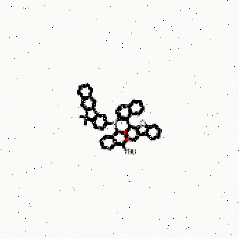 CC(C)(C)c1ccc(N(c2ccc3c(c2)-c2cc4ccccc4cc2C3(C)C)c2ccc3ccccc3c2-c2cccc3c2oc2ccccc23)c2ccccc12